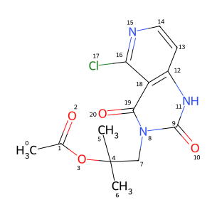 CC(=O)OC(C)(C)Cn1c(=O)[nH]c2ccnc(Cl)c2c1=O